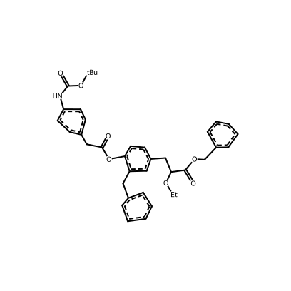 CCOC(Cc1ccc(OC(=O)Cc2ccc(NC(=O)OC(C)(C)C)cc2)c(Cc2ccccc2)c1)C(=O)OCc1ccccc1